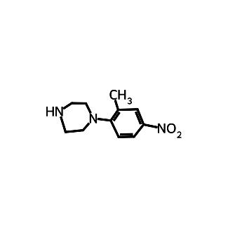 Cc1cc([N+](=O)[O-])ccc1N1CCNCC1